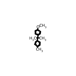 COc1ccc(C(C)(C)c2ccc(C)cc2)cc1